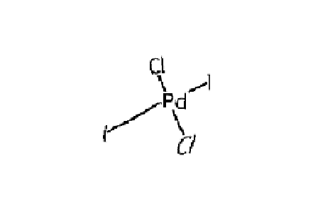 [Cl][Pd]([Cl])([I])[I]